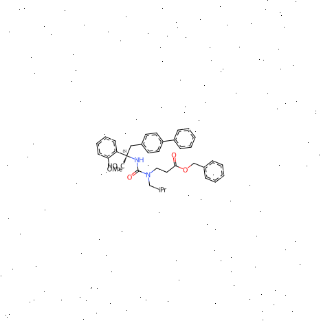 COc1ccccc1[C@](Cc1ccc(-c2ccccc2)cc1)(NC(=O)N(CCC(=O)OCc1ccccc1)CC(C)C)C(=O)O